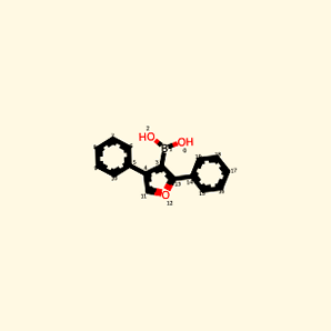 OB(O)c1c(-c2ccccc2)coc1-c1ccccc1